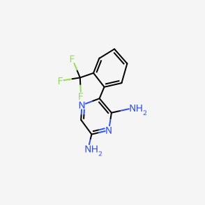 Nc1cnc(-c2ccccc2C(F)(F)F)c(N)n1